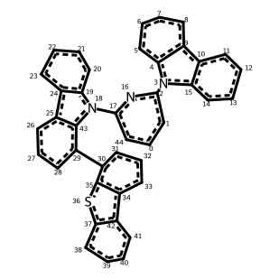 c1cc(-n2c3ccccc3c3ccccc32)nc(-n2c3ccccc3c3cccc(-c4cccc5c4sc4ccccc45)c32)c1